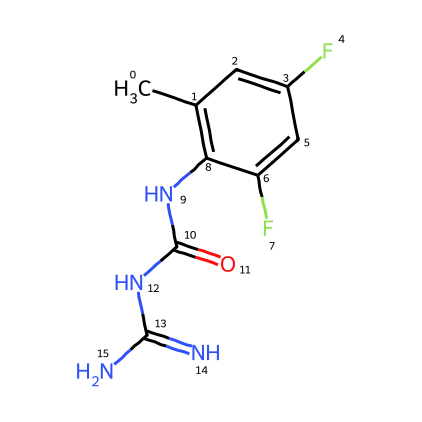 Cc1cc(F)cc(F)c1NC(=O)NC(=N)N